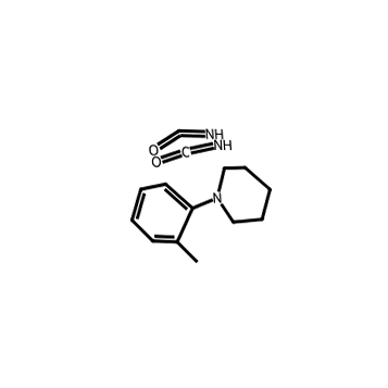 Cc1ccccc1N1CCCCC1.N=C=O.N=C=O